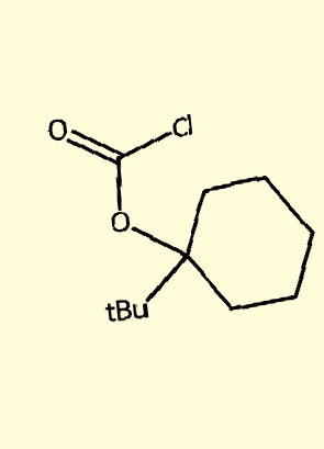 CC(C)(C)C1(OC(=O)Cl)CCCCC1